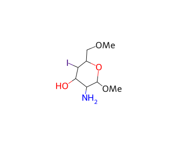 COCC1OC(OC)C(N)C(O)C1I